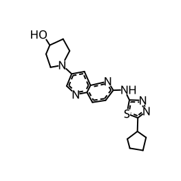 OC1CCN(c2cnc3ccc(Nc4nnc(C5CCCC5)s4)nc3c2)CC1